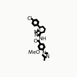 COc1cc(C(=O)Nc2nnn3c2CCCC3c2ccc(Cl)cc2)ccc1-n1cnc(C)c1